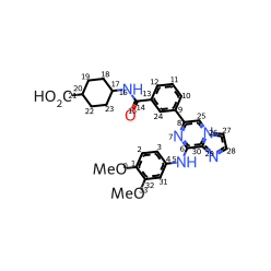 COc1ccc(Nc2nc(-c3cccc(C(=O)NC4CCC(C(=O)O)CC4)c3)cn3ccnc23)cc1OC